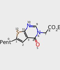 CCCCCc1cc2c(=O)n(CC(=O)OCC)cnc2s1